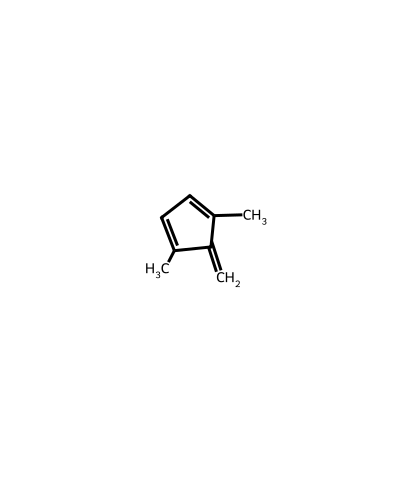 C=C1C(C)=CC=C1C